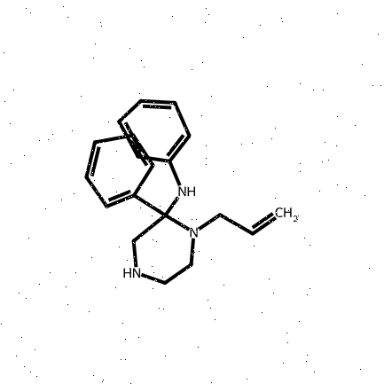 C=CCN1CCNCC1(Nc1ccccc1)c1ccccc1